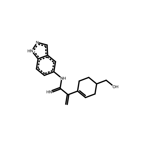 C=C(C(=N)Nc1ccc2[nH]ncc2c1)C1=CCC(CO)CC1